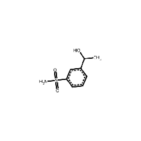 CC(O)c1cccc(S(N)(=O)=O)c1